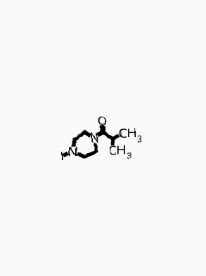 CC(C)C(=O)N1CCN(I)CC1